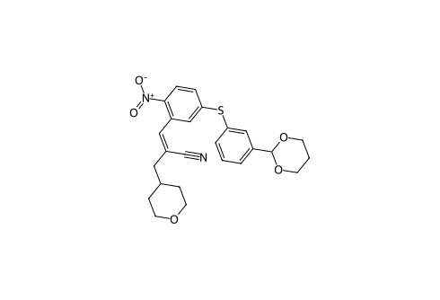 N#CC(=Cc1cc(Sc2cccc(C3OCCCO3)c2)ccc1[N+](=O)[O-])CC1CCOCC1